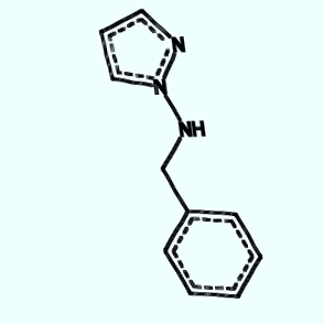 c1ccc(CNn2cccn2)cc1